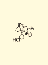 CC(C)C1=CC(C(C)C)=C(c2ccccc2)C(C(C)C)(P(C2CCCCC2)C2CCCCC2)C1.Cl